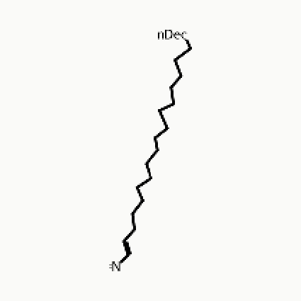 CCCCCCCCCCCCCCCCCCCCCCCCCC=C[N]